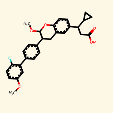 COc1ccc(F)c(-c2ccc(C3Cc4cc(C(CC(=O)O)C5CC5)ccc4OC3OC)cc2)c1